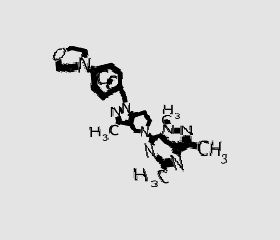 Cc1nc(N2CCc3c(c(C)nn3CC34CCC(N5CCOCC5)(CC3)CC4)C2)c2c(n1)c(C)nn2C